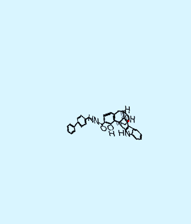 O=C(NCCc1ccc(-c2ccccc2)cc1)c1ccc2c(c1O)[C@]13CCC[C@H](C2)[C@]1(O)Cc1c([nH]c2ccccc12)C3